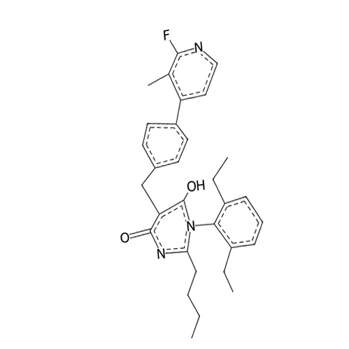 CCCCc1nc(=O)c(Cc2ccc(-c3ccnc(F)c3C)cc2)c(O)n1-c1c(CC)cccc1CC